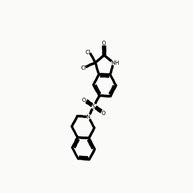 O=C1Nc2ccc(S(=O)(=O)N3CCc4ccccc4C3)cc2C1(Cl)Cl